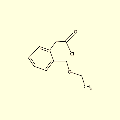 CCOCc1ccccc1CC(=O)Cl